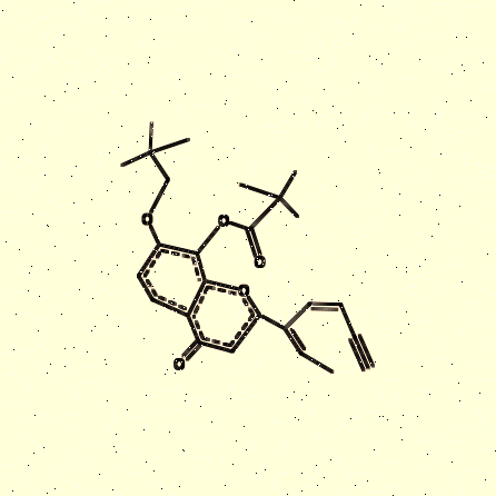 C#C/C=C\C(=C/C)c1cc(=O)c2ccc(OCC(C)(C)C)c(OC(=O)C(C)(C)C)c2o1